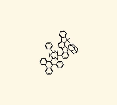 CC1(C)c2ccccc2-c2ccc3c(c21)C1(c2cccc(-c4nc(-c5ccccc5)nc(-c5c(-c6ccccc6)c6ccccc6c6ccccc56)n4)c2-3)C2CC3CC(C2)CC1C3